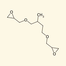 CC(CCOCC1CO1)COCC1CO1